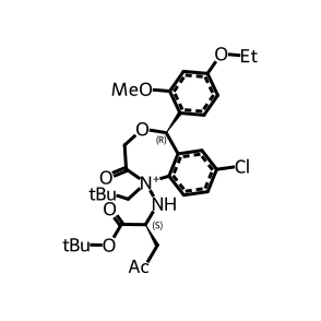 CCOc1ccc([C@@H]2OCC(=O)[N+](CC(C)(C)C)(N[C@@H](CC(C)=O)C(=O)OC(C)(C)C)c3ccc(Cl)cc32)c(OC)c1